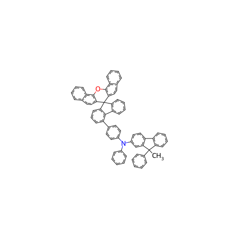 CC1(c2ccccc2)c2ccccc2-c2ccc(N(c3ccccc3)c3ccc(-c4cccc5c4-c4ccccc4C54c5ccc6ccccc6c5Oc5c4ccc4ccccc54)cc3)cc21